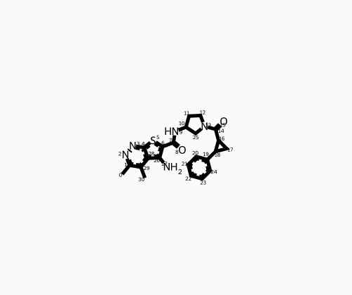 Cc1nnc2sc(C(=O)NC3CCN(C(=O)C4CC4c4ccccc4)C3)c(N)c2c1C